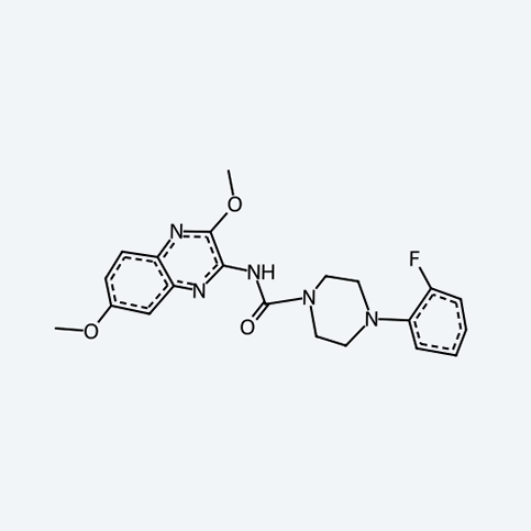 COc1ccc2nc(OC)c(NC(=O)N3CCN(c4ccccc4F)CC3)nc2c1